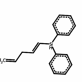 C=CCC=C[SiH](c1ccccc1)c1ccccc1